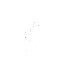 CC(=O)c1cnn(Cc2cc3c(-c4ccc(S(=O)(=O)N5CCCC5)cc4)ccnc3[nH]2)c1C